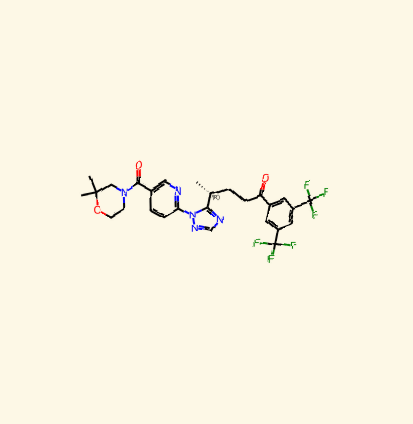 C[C@H](CCC(=O)c1cc(C(F)(F)F)cc(C(F)(F)F)c1)c1ncnn1-c1ccc(C(=O)N2CCOC(C)(C)C2)cn1